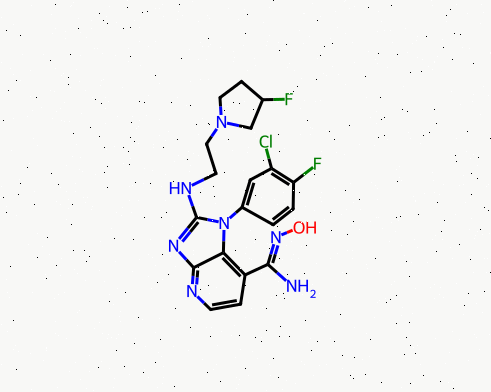 NC(=NO)c1ccnc2nc(NCCN3CCC(F)C3)n(-c3ccc(F)c(Cl)c3)c12